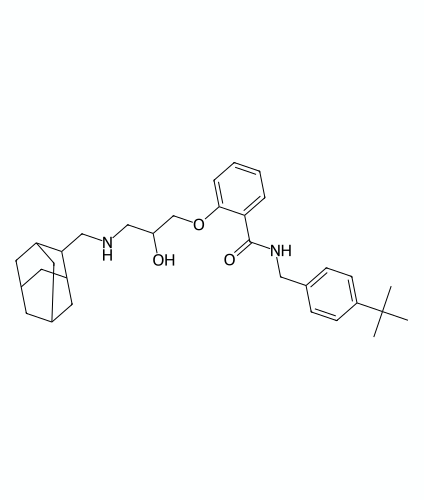 CC(C)(C)c1ccc(CNC(=O)c2ccccc2OCC(O)CNCC2C3CC4CC(C3)CC2C4)cc1